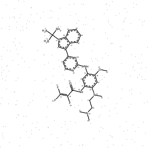 BC(B)(B)n1cc(-c2ccnc(Nc3cc(NC(=O)C(F)=C(F)F)c(N(C)CCN(C)C)cc3OC)n2)c2ccccc21